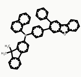 CC1(C)c2ccccc2-c2ccc(N(c3ccc(-c4cc5oc6ccccc6c5cc4-c4ccccc4)cc3)c3cccc4ccccc34)cc21